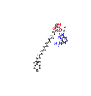 C[C@H](Cn1cnc2c(N)ncnc21)OCP(=O)(O)OCCCCCCCCCCCCCCC[Si](C)(C)C1CCCCC1